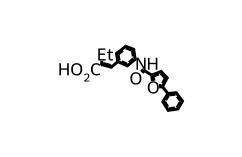 CC/C(=C\c1cccc(NC(=O)c2ccc(-c3ccccc3)o2)c1)C(=O)O